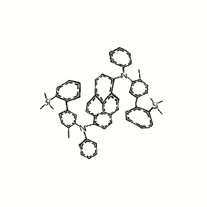 Cc1ccc(-c2ccccc2[Si](C)(C)C)cc1N(c1ccccc1)c1ccc2ccc3c(N(c4ccccc4)c4cc(-c5ccccc5[Si](C)(C)C)ccc4C)ccc4ccc1c2c43